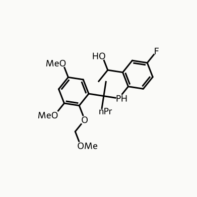 CCCC(C)(Pc1ccc(F)cc1C(C)O)c1cc(OC)cc(OC)c1OCOC